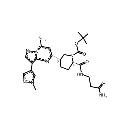 Cn1cc(-c2cnn3c(N)cc([C@H]4CC[C@@H](C(=O)NCCC(N)=O)N(C(=O)OC(C)(C)C)C4)nc23)cn1